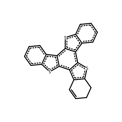 C1=Cc2c(sc3c2c2sc4ccccc4c2c2sc4ccccc4c32)CC1